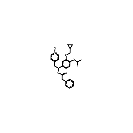 O=C(Cc1ccccc1)OC(Cc1cc[n+]([O-])cc1)c1ccc(OC(F)F)c(OCC2CC2)c1